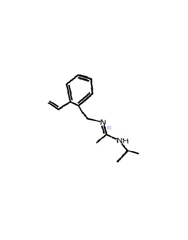 C=Cc1ccccc1C/N=C(\C)NC(C)C